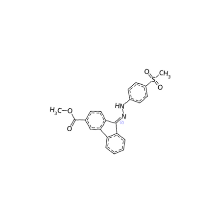 COC(=O)c1ccc2c(c1)-c1ccccc1/C2=N/Nc1ccc(S(C)(=O)=O)cc1